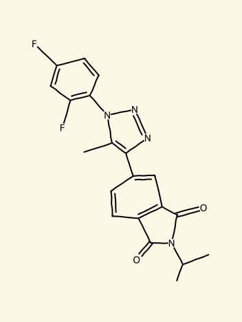 Cc1c(-c2ccc3c(c2)C(=O)N(C(C)C)C3=O)nnn1-c1ccc(F)cc1F